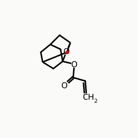 C=CC(=O)OC12CC3CC(CC(C3)O1)C2